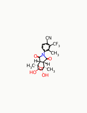 Cc1c(N2C(=O)[C@@H]3[C@H](C2=O)[C@]2(C)O[C@@]3(C)[C@H](O)[C@H]2O)ccc(C#N)c1C(F)(F)F